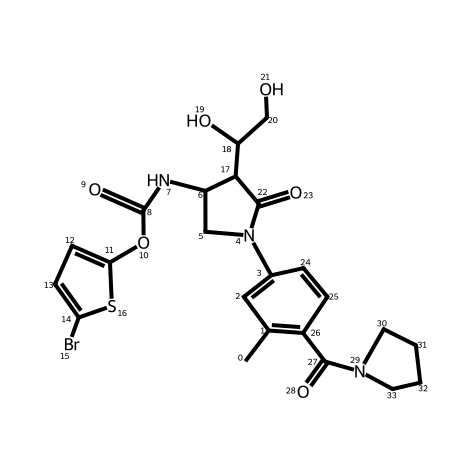 Cc1cc(N2CC(NC(=O)Oc3ccc(Br)s3)C(C(O)CO)C2=O)ccc1C(=O)N1CCCC1